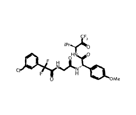 COc1ccc([C@H](NC(=O)CNC(=O)C(F)(F)c2cccc(Cl)c2)C(=O)N[C@H](C(=O)C(F)(F)F)C(C)C)cc1